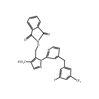 CCOC(=O)c1cnn(-c2cc(Cc3cc(F)cc(C(F)(F)F)c3)ccn2)c1CON1C(=O)c2ccccc2C1=O